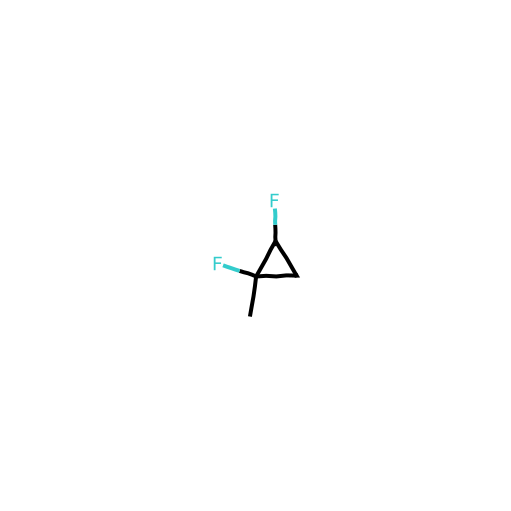 CC1(F)C[C]1F